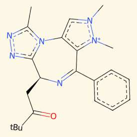 Cc1nnc2n1-c1cn(C)[n+](C)c1C(c1ccccc1)=N[C@H]2CC(=O)C(C)(C)C